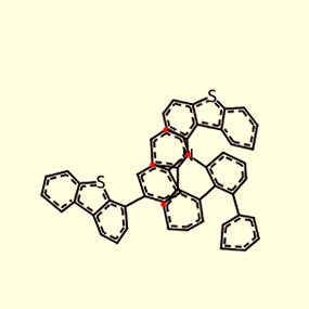 c1ccc(-c2ccccc2-c2c(-c3ccccc3)cccc2N(c2ccc(-c3cccc4c3sc3ccccc34)cc2)c2cccc3sc4ccccc4c23)cc1